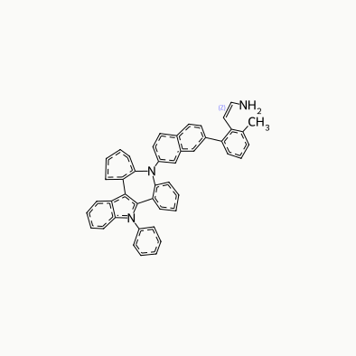 Cc1cccc(-c2ccc3ccc(N4c5ccccc5-c5c(n(-c6ccccc6)c6ccccc56)-c5ccccc54)cc3c2)c1/C=C\N